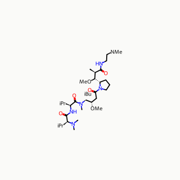 CC[C@H](C)[C@@H]([C@H](CC(=O)N1CCC[C@H]1C(OC)[C@@H](C)C(=O)NCCNC)OC)N(C)C(=O)[C@@H](NC(=O)[C@H](C(C)C)N(C)C)C(C)C